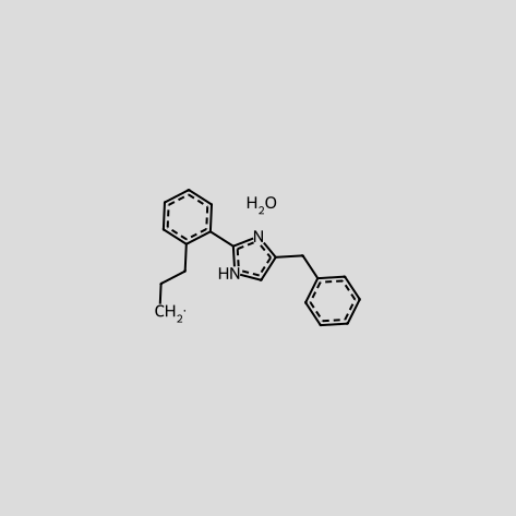 O.[CH2]CCc1ccccc1-c1nc(Cc2ccccc2)c[nH]1